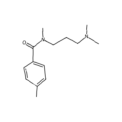 Cc1ccc(C(=O)N(C)CCCN(C)C)cc1